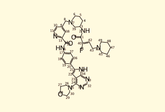 O=C(NC1CCCN(Cc2ccnc(C(=O)Nc3ccc(-c4cc5c(N6CCOCC6)ncnc5[nH]4)cc3)c2)C1)/C(F)=C/CN1CCCCC1